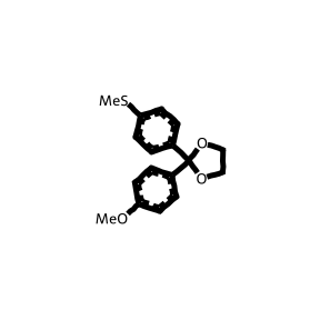 COc1ccc(C2(c3ccc(SC)cc3)OCCO2)cc1